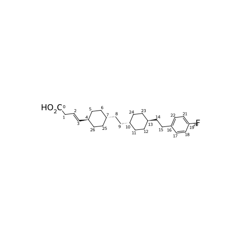 O=C(O)CC=C[C@H]1CC[C@H](CC[C@H]2CC[C@H](CCc3ccc(F)cc3)CC2)CC1